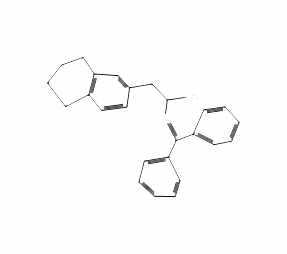 N#CC(Cc1ccc2c(c1)CCCC2)N=C(c1ccccc1)c1ccccc1